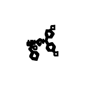 O=S(=O)(Cc1ccccc1)NC1CN(C(c2ccc(Cl)cc2)c2ccc(Cl)cc2)C1